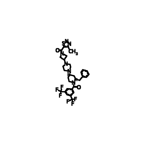 Cc1nnsc1C(=O)N1CC(N2CCN([C@H]3CCN(C(=O)c4cc(C(F)(F)F)cc(C(F)(F)F)c4)[C@H](Cc4ccccc4)C3)CC2)C1